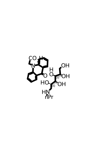 CCCNC[C@H](O)[C@H](O)[C@@H](O)[C@@H](O)CO.O=C(O)Cn1c2ccccc2c(=O)c2ccccc21